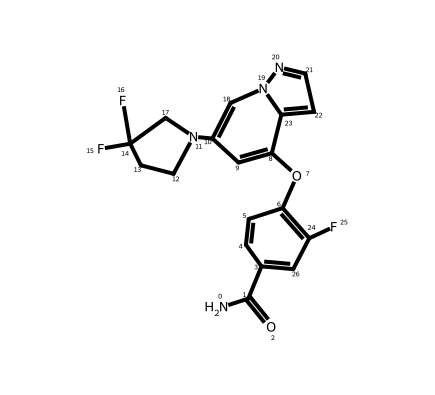 NC(=O)c1ccc(Oc2cc(N3CCC(F)(F)C3)cn3nccc23)c(F)c1